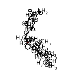 COC(=O)CC1=C2/C(=C/CSSC(C)(C)CCC(=O)CCCNC(=O)OCc3ccc(NC(=O)[C@H](CCCNC(N)=O)CC(=O)[C@H](Cc4ccccc4)NC(=O)CCCCCN4C(=O)CC(C)C4=O)cc3)[C@](O)(C#C/C=C\C#C[C@@H]2OC2OC(C)C(NOC3CC(O)C(SC(=O)c4c(C)c(I)c(OC5OC(C)C(O)C(OC)C5O)c(C)c4OC)C(C)O3)C(O)C2OC2CC(C)C(CC(C)=O)CO2)CC1=O